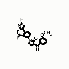 COc1cccc(NC2CCN(c3ccc(-c4cn[nH]c4)c(C(F)F)c3)C2=O)c1